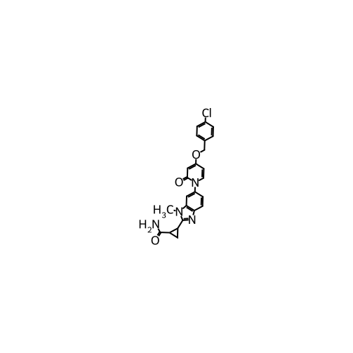 Cn1c(C2CC2C(N)=O)nc2ccc(-n3ccc(OCc4ccc(Cl)cc4)cc3=O)cc21